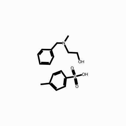 CN(CCO)Cc1ccccc1.Cc1ccc(S(=O)(=O)O)cc1